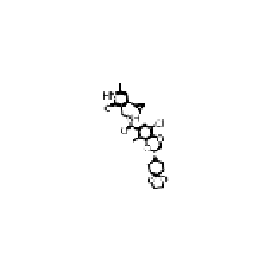 Cc1cc(C2CC2)c(CNC(=O)c2cc(Cl)c3c(c2C)O[C@@H](C2CCC4(CC2)OCCO4)CO3)c(=O)[nH]1